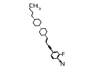 CCCC[C@H]1CC[C@H](C2CCC(/C=C/C#Cc3ccc(C#N)c(F)c3)CC2)CC1